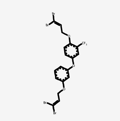 FC(F)(F)c1cc(Oc2cccc(OCC=C(Br)Br)c2)ccc1OCC=C(Br)Br